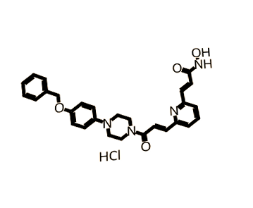 Cl.O=C(C=Cc1cccc(C=CC(=O)N2CCN(c3ccc(OCc4ccccc4)cc3)CC2)n1)NO